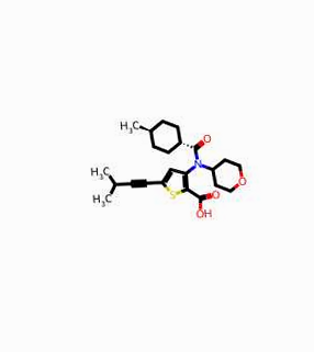 CC(C)C#Cc1cc(N(C(=O)[C@H]2CC[C@H](C)CC2)C2CCOCC2)c(C(=O)O)s1